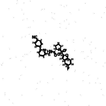 N#Cc1ccc(-c2cccc(CNC(=O)[C@@H]3CCCN3S(=O)(=O)c3cc4cc(F)ccc4o3)n2)cc1